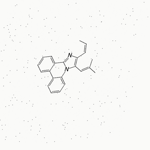 C/C=C\c1nc2c3ccccc3c3ccccc3n2c1C=C(C)C